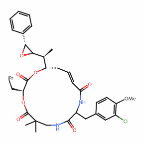 COc1ccc(CC2NC(=O)/C=C/C[C@@H]([C@H](C)[C@H]3O[C@@H]3c3ccccc3)OC(=O)[C@H](CC(C)C)OC(=O)C(C)(C)CNC2=O)cc1Cl